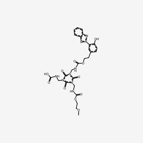 COCCOC(=O)NCn1c(=O)n(CNC(=O)O)c(=O)n(CNC(=O)OCCc2ccc(O)c(-n3nc4ccccc4n3)c2)c1=O